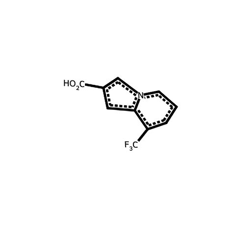 O=C(O)c1cc2c(C(F)(F)F)cccn2c1